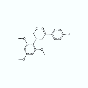 COc1cc(OC)c(C(CCl)CC(=O)c2ccc(F)cc2)c(OC)c1